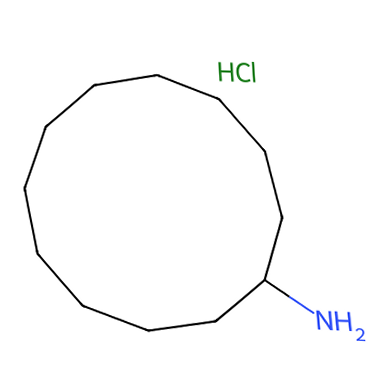 Cl.NC1CCCCCCCCCCC1